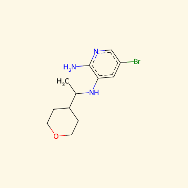 CC(Nc1cc(Br)cnc1N)C1CCOCC1